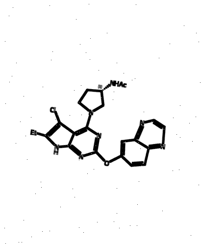 CCc1[nH]c2nc(Oc3ccc4nccnc4c3)nc(N3CC[C@H](NC(C)=O)C3)c2c1Cl